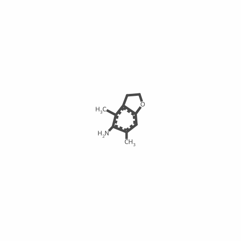 Cc1cc2c(c(C)c1N)CCO2